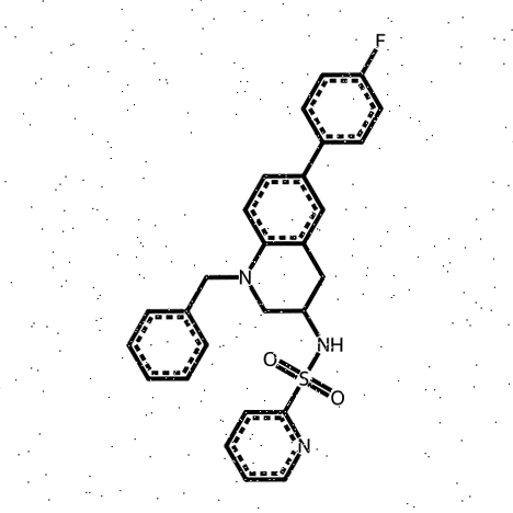 O=S(=O)(NC1Cc2cc(-c3ccc(F)cc3)ccc2N(Cc2ccccc2)C1)c1ccccn1